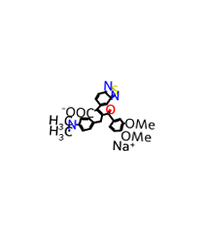 COc1ccc(C(=O)C(Cc2ccc(N(C)C)cc2)=C(C(=O)[O-])c2ccc3nsnc3c2)cc1OC.[Na+]